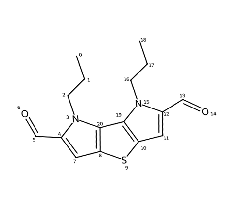 CCCn1c(C=O)cc2sc3cc(C=O)n(CCC)c3c21